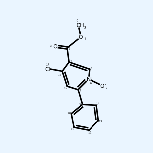 COC(=O)c1c[n+]([O-])c(-c2ccccc2)cc1Cl